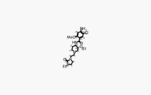 CCO[C@@H]1CN(CCN2CCN(CC)C2=O)CC[C@@H]1NC(=O)c1cc(Cl)c(N)cc1OC